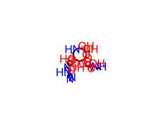 CCCNC[C@]1(O)[C@H](C)O[C@@H](O[C@H]2[C@H](C)[C@@H](O[C@@H]3O[C@H](C)C[C@H](N(C)C(=O)Nc4cnn(C)c4)[C@H]3O)[C@](C)(O)C[C@@H](C)CN[C@H](C)[C@@H](O)[C@](C)(O)[C@@H](CC)OC(=O)[C@@H]2C)C[C@@]1(C)OC